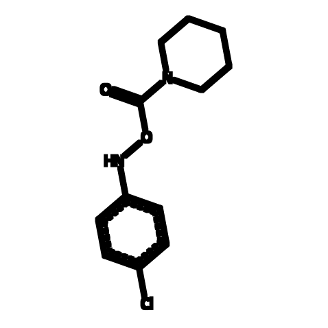 O=C(ONc1ccc(Cl)cc1)N1CCCCC1